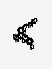 COc1ccc(Cn2c(=O)n3ncnc3c3ccc(CNCC4(C)COC4)nc32)cc1